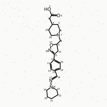 O=C(O)CC1CCN(CC2CC(c3ccc(C=NN4CCCCC4)cc3)=NO2)CC1